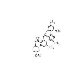 CCN(CC1CCC(OC(C)=O)CC1)c1ncc(C(F)(F)F)cc1CN(Cc1cc(C#N)cc(C(F)(F)F)c1)c1nnn(C)n1